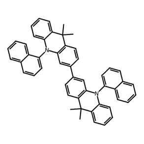 CC1(C)c2ccccc2N(c2cccc3ccccc23)c2cc(-c3ccc4c(c3)N(c3cccc5ccccc35)c3ccccc3C4(C)C)ccc21